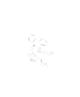 C=CC([C@H]1C(=O)O[C@H](c2ccccc2)[C@H](c2ccccc2)N1C(=O)O)C(C)(C)C